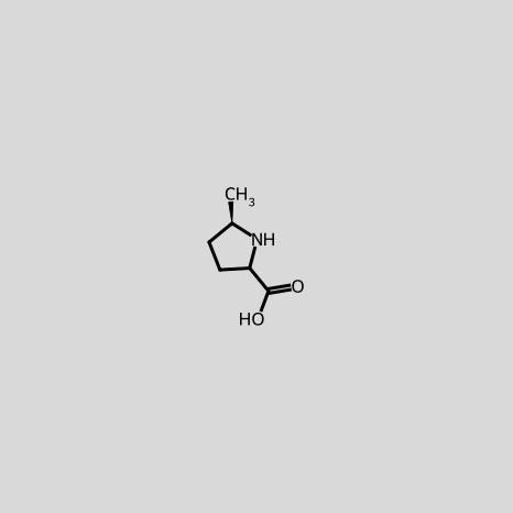 C[C@@H]1CCC(C(=O)O)N1